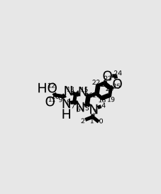 CC(C)N(C)c1nc2[nH]c(C(=O)O)nc2nc1-c1ccc2c(c1)OCO2